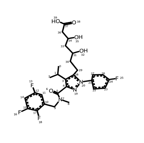 CC(C)c1c(C(=O)N(C)Cc2cc(F)cc(F)c2F)nn(-c2ccc(F)cc2)c1CCC(O)CC(O)CC(=O)O